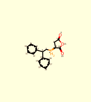 O=C1CC(=[PH2]CC(c2ccccc2)c2ccccc2)C(=O)O1